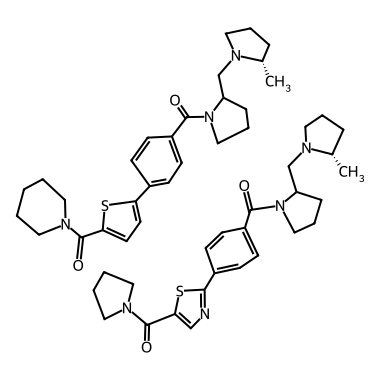 C[C@H]1CCCN1CC1CCCN1C(=O)c1ccc(-c2ccc(C(=O)N3CCCCC3)s2)cc1.C[C@H]1CCCN1CC1CCCN1C(=O)c1ccc(-c2ncc(C(=O)N3CCCC3)s2)cc1